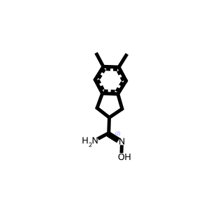 Cc1cc2c(cc1C)CC(/C(N)=N/O)C2